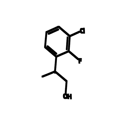 C[C](CO)c1cccc(Cl)c1F